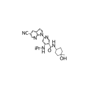 CC(C)Nc1cc(-n2ccc3cc(C#N)cnc32)ncc1C(=O)NC1CCC(C)(O)CC1